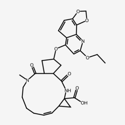 CCOc1cc(OC2CC3C(=O)NC4(C(=O)O)CC4C=CCCCCN(C)C(=O)C3C2)c2ccc3c(c2n1)OCO3